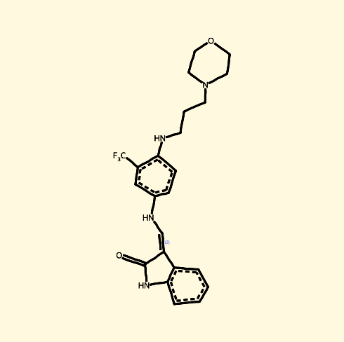 O=C1Nc2ccccc2/C1=C/Nc1ccc(NCCCN2CCOCC2)c(C(F)(F)F)c1